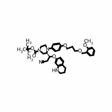 COc1ccccc1COCCCOc1ccc(N2CCN(C(=O)OC(C)(C)C)C[C@@H]2C(CC#N)Oc2ccc3c(c2)NCCC3)cc1